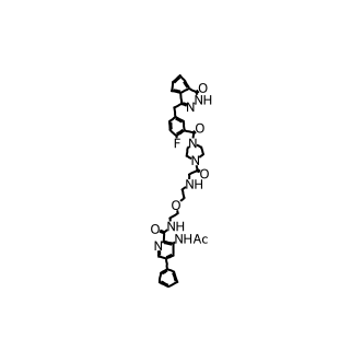 CC(=O)Nc1cc(-c2ccccc2)cnc1C(=O)NCCOCCNCC(=O)N1CCN(C(=O)c2cc(Cc3n[nH]c(=O)c4ccccc34)ccc2F)CC1